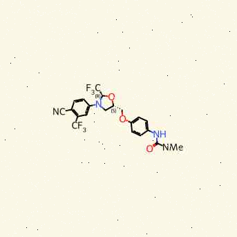 CNC(=O)Nc1ccc(OC[C@@H]2CN(c3ccc(C#N)c(C(F)(F)F)c3)[C@@H](C(F)(F)F)O2)cc1